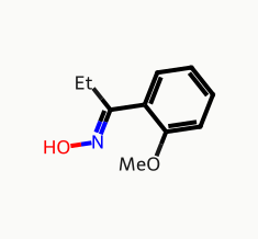 CCC(=NO)c1ccccc1OC